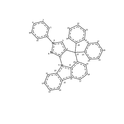 c1ccc(-n2cc3c(n2)-n2c4ccccc4c4cccc(c42)C3(c2ccccc2)c2ccccc2)cc1